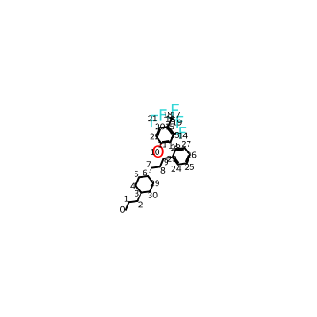 CCC[C@H]1CC[C@H](CCC(Oc2cc(F)c(C(F)(F)F)c(F)c2)c2ccccc2)CC1